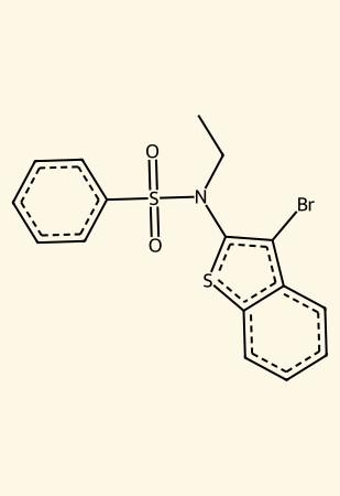 CCN(c1sc2ccccc2c1Br)S(=O)(=O)c1ccccc1